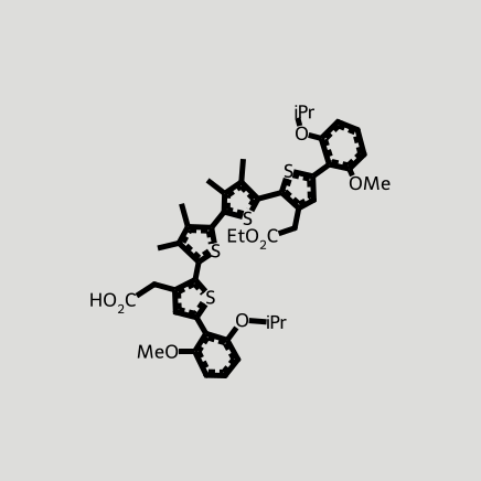 CCOC(=O)Cc1cc(-c2c(OC)cccc2OC(C)C)sc1-c1sc(-c2sc(-c3sc(-c4c(OC)cccc4OC(C)C)cc3CC(=O)O)c(C)c2C)c(C)c1C